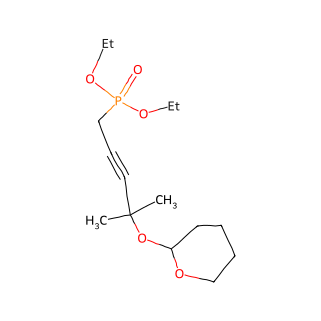 CCOP(=O)(CC#CC(C)(C)OC1CCCCO1)OCC